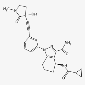 CN1CC[C@@](O)(C#Cc2cccc(-n3nc(C(N)=O)c4c3CCC[C@@H]4NC(=O)C3CC3)c2)C1=O